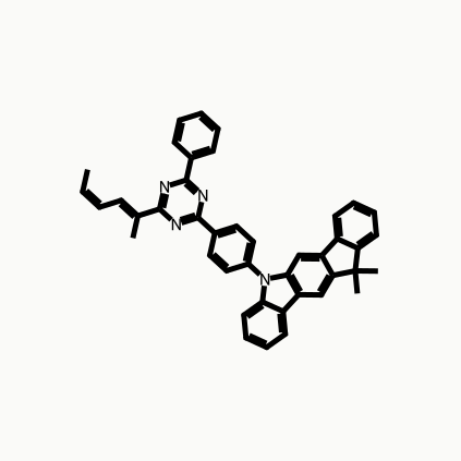 C/C=C\C=C(/C)c1nc(-c2ccccc2)nc(-c2ccc(-n3c4ccccc4c4cc5c(cc43)-c3ccccc3C5(C)C)cc2)n1